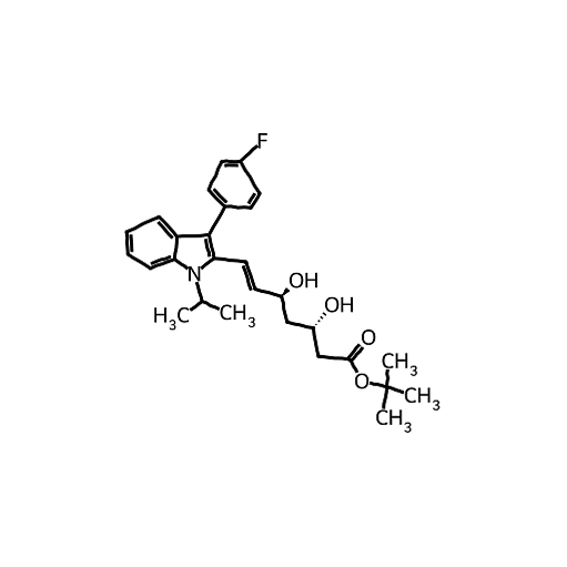 CC(C)n1c(/C=C/[C@@H](O)C[C@H](O)CC(=O)OC(C)(C)C)c(-c2ccc(F)cc2)c2ccccc21